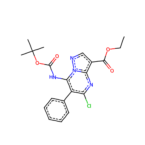 CCOC(=O)c1cnn2c(NC(=O)OC(C)(C)C)c(-c3ccccc3)c(Cl)nc12